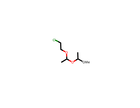 COC(C)OC(C)OCCCl